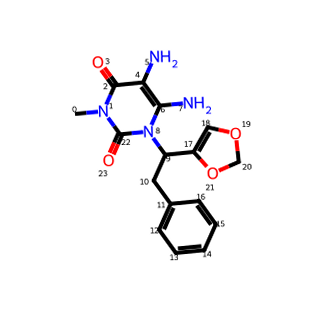 Cn1c(=O)c(N)c(N)n(C(Cc2ccccc2)C2=COCO2)c1=O